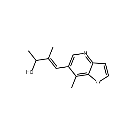 C/C(=C\c1cnc2ccoc2c1C)C(C)O